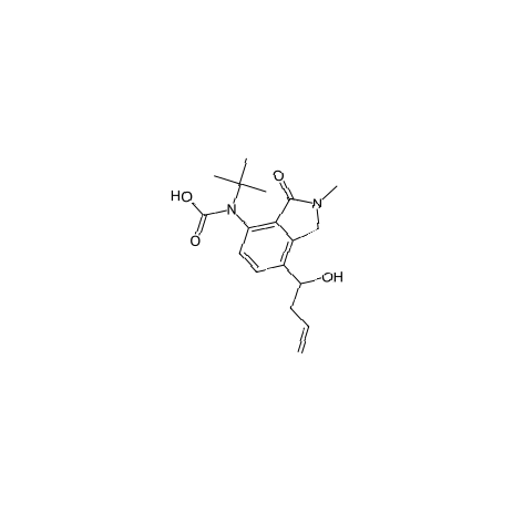 C=CCC(O)c1ccc(N(C(=O)O)C(C)(C)C)c2c1CN(C)C2=O